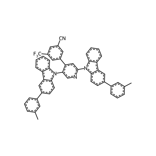 Cc1cccc(-c2ccc3c(c2)c2ccccc2n3-c2cc(-c3cc(C#N)cc(C(F)(F)F)c3)c(-n3c4ccccc4c4cc(-c5cccc(C)c5)ccc43)cn2)c1